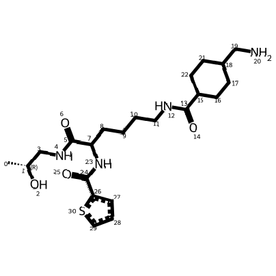 C[C@@H](O)CNC(=O)C(CCCCNC(=O)C1CCC(CN)CC1)NC(=O)c1cccs1